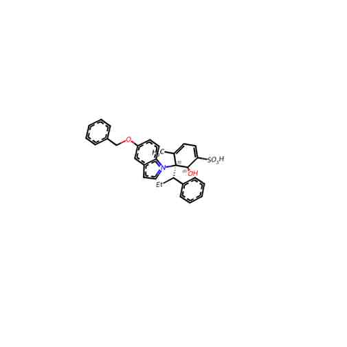 CCC(c1ccccc1)[C@]1(n2ccc3cc(OCc4ccccc4)ccc32)C(C)=CC=C(S(=O)(=O)O)[C@H]1O